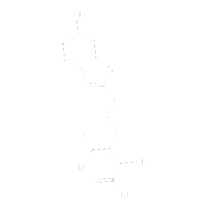 CCC(=O)/C(C)=C(/CCCc1nc2cc(C)ccc2s1)C(=O)CC